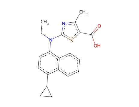 CCN(c1nc(C)c(C(=O)O)s1)c1ccc(C2CC2)c2ccccc12